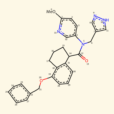 COc1ccc(N(Cc2cn[nH]c2)C(=O)C2CCCc3c(OCc4ccccc4)cccc32)cn1